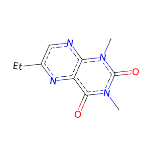 CCc1cnc2c(n1)c(=O)n(C)c(=O)n2C